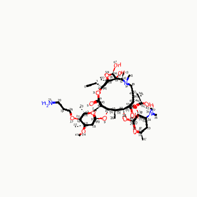 CC[C@H]1OC(=O)[C@H](C)[C@@H](O[C@H]2C[C@@](C)(OC)[C@@H](OCCCN)[C@H](C)O2)[C@H](C)[C@@H](O[C@@H]2O[C@H](C)C[C@H](N(C)C)[C@H]2O[C@@H](C)O)[C@](C)(O)C[C@@H](C)CN(C)[C@H](C)[C@@]2(O)[C@H](O)O[C@]12C